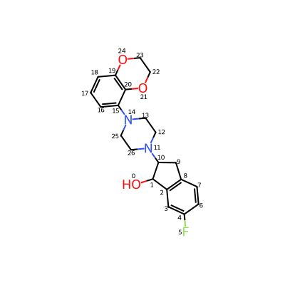 OC1c2cc(F)ccc2CC1N1CCN(c2cccc3c2OCCO3)CC1